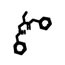 CCC(CNCc1ccccc1)NCc1ccccc1